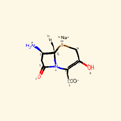 N[C@@H]1C(=O)N2C(C(=O)[O-])=C(O)CS[C@@H]12.[Na+]